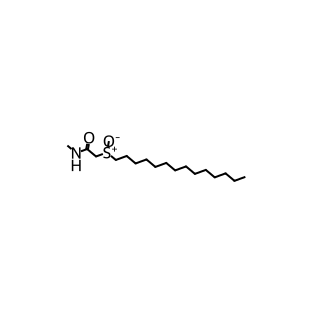 CCCCCCCCCCCCCC[S+]([O-])CC(=O)NC